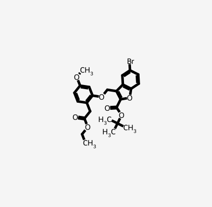 CCOC(=O)Cc1ccc(OC)cc1OCc1c(C(=O)OC(C)(C)C)oc2ccc(Br)cc12